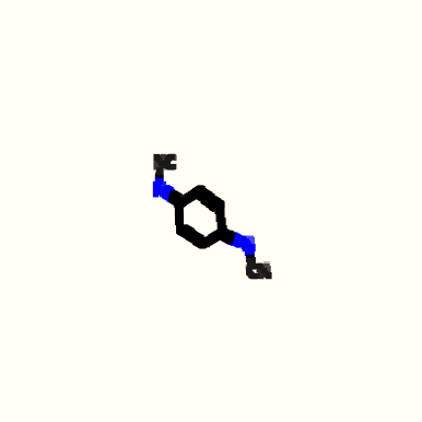 [C-]#[N+]N=C1C=CC(=NC#N)C=C1